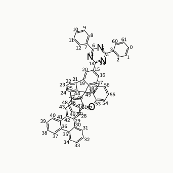 c1ccc(-c2nc(-c3ccccc3)nc(-c3ccc4c(c3)-c3cccc(-c5ccc6c7ccccc7c7ccccc7c6c5)c3C43c4ccccc4Oc4ccccc43)n2)cc1